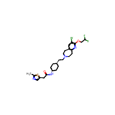 Cc1ncc(CC(=O)N[C@H]2CC[C@H](CCN3CCc4cc(Br)c(OCC(F)F)nc4CC3)CC2)s1